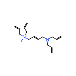 C=CCN(CC=C)C/C=C/C[N+](C)(CC=C)CC=C